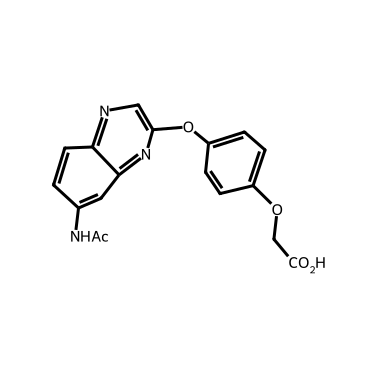 CC(=O)Nc1ccc2ncc(Oc3ccc(OCC(=O)O)cc3)nc2c1